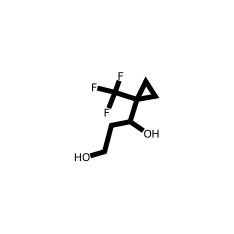 OCCC(O)C1(C(F)(F)F)CC1